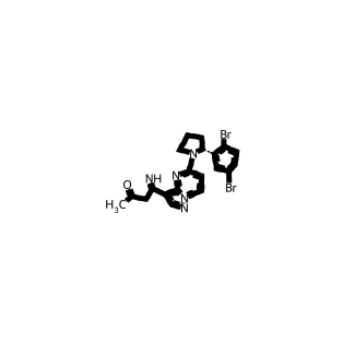 CC(=O)CC(=N)c1cnn2ccc(N3CCC[C@@H]3c3cc(Br)ccc3Br)nc12